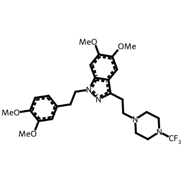 COc1ccc(CCn2nc(CCN3CCN(C(F)(F)F)CC3)c3cc(OC)c(OC)cc32)cc1OC